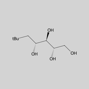 CC(C)(C)C[C@@H](O)[C@@H](O)[C@@H](O)CO